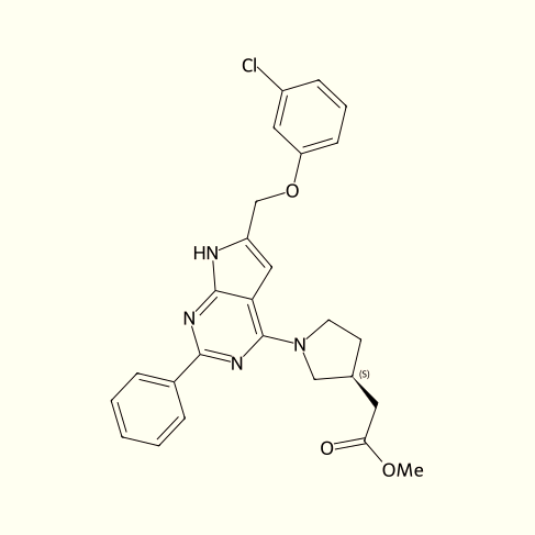 COC(=O)C[C@@H]1CCN(c2nc(-c3ccccc3)nc3[nH]c(COc4cccc(Cl)c4)cc23)C1